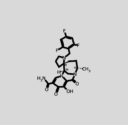 C[C@H]1CC[C@]2(CCCN2Cc2c(F)cc(F)cc2F)[C@H]2CN1C(=O)c1c(O)c(=O)c(C(N)=O)cn12